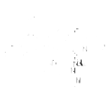 Cc1cc2n(n1)[N+]13c4c(ccc5c4-n4c6c(cccc6c6ccn[n+]1c64)C51c4ccccc4-c4ccccc41)Oc1cccc-2[n+]13